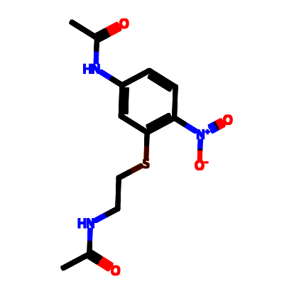 CC(=O)NCCSc1cc(NC(C)=O)ccc1[N+](=O)[O-]